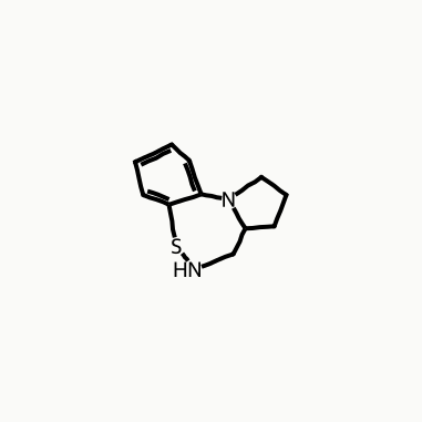 c1ccc2c(c1)SNCC1CCCN21